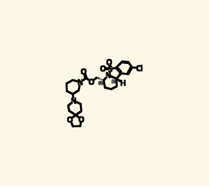 O=C(OC[C@H]1CCC[C@H]2c3cc(Cl)ccc3S(=O)(=O)N12)N1CCCC(N2CCC3(CC2)OCCO3)C1